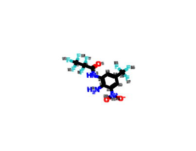 Nc1c(NC(=O)C(F)(F)C(F)(F)F)cc(C(F)(F)F)cc1[N+](=O)[O-]